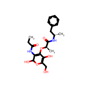 CCC(=O)NC1=C(O[C@H](C)C(=O)N[C@@H](C)Cc2ccccc2)C(O)=C(CO)OC1O